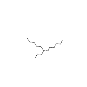 CCCCCCC(CCC)CCCCC